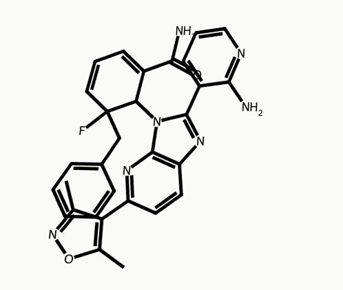 Cc1noc(C)c1-c1ccc2nc(-c3cccnc3N)n(C3C(C(N)=O)=CC=CC3(F)Cc3ccccc3)c2n1